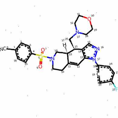 N#Cc1ccc(S(=O)(=O)N2CCC3=Cc4c(cnn4-c4ccc(F)cc4)[C@H](CN4CCOCC4)[C@@H]3C2)cc1